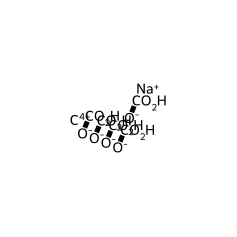 O=C([O-])O.O=C([O-])O.O=C([O-])O.O=C([O-])O.O=C([O-])O.[C+4].[Na+]